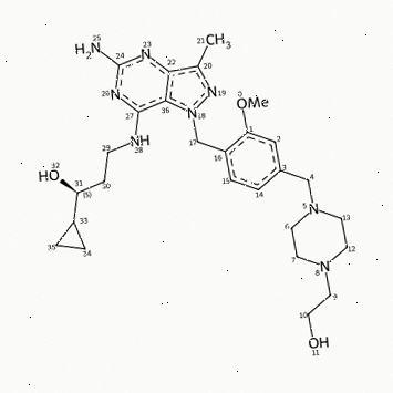 COc1cc(CN2CCN(CCO)CC2)ccc1Cn1nc(C)c2nc(N)nc(NCC[C@H](O)C3CC3)c21